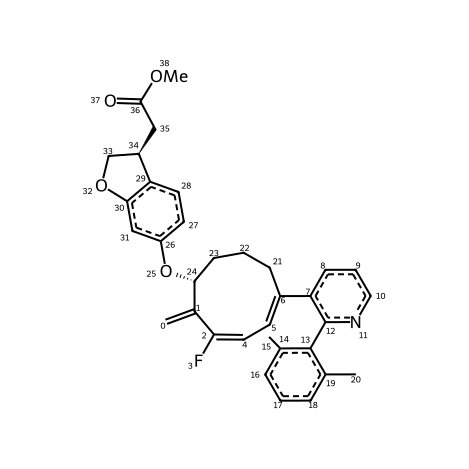 C=C1/C(F)=C\C=C(\c2cccnc2-c2c(C)cccc2C)CCC[C@H]1Oc1ccc2c(c1)OC[C@H]2CC(=O)OC